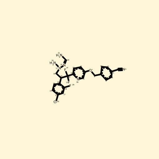 N#Cc1ccc(COc2ccc(C(F)(F)C(CN(N)/N=C\N)c3ccc(Cl)cc3F)nc2)cc1